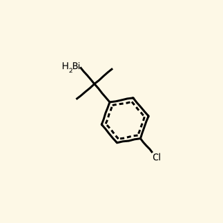 C[C](C)([BiH2])c1ccc(Cl)cc1